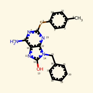 Cc1ccc(Sc2nc(N)c3nc(O)n(Cc4ccccc4)c3n2)cc1